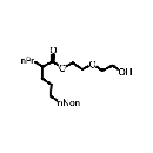 CCCCCCCCCCCCC(CCC)C(=O)OCCOCCO